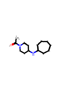 CC(=O)N1CCC(NC2CCCCCC2)CC1